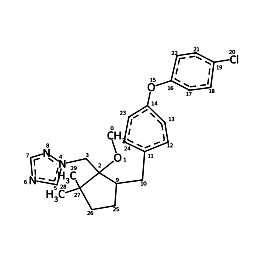 COC1(Cn2cncn2)C(Cc2ccc(Oc3ccc(Cl)cc3)cc2)CCC1(C)C